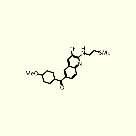 CCc1cc2cc(C(=O)C3CCC(OC)CC3)ccc2nc1NCCSC